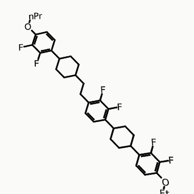 CCCOc1ccc(C2CCC(CCc3ccc(C4CCC(c5ccc(OCC)c(F)c5F)CC4)c(F)c3F)CC2)c(F)c1F